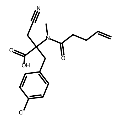 C=CCCC(=O)N(C)C(CC#N)(Cc1ccc(Cl)cc1)C(=O)O